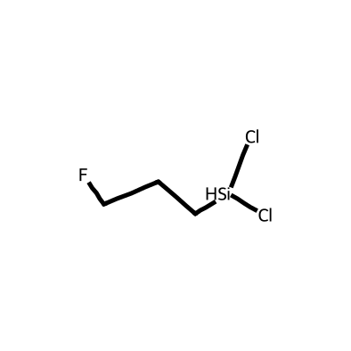 FCCC[SiH](Cl)Cl